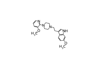 COc1ccc2c(CCN3CCN(c4ncccc4OC)CC3)c[nH]c2c1